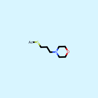 CC(=O)SCCCN1CCOCC1